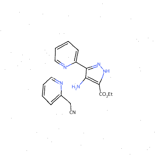 CCOC(=O)c1[nH]nc(-c2ccccn2)c1N.N#CCc1ccccn1